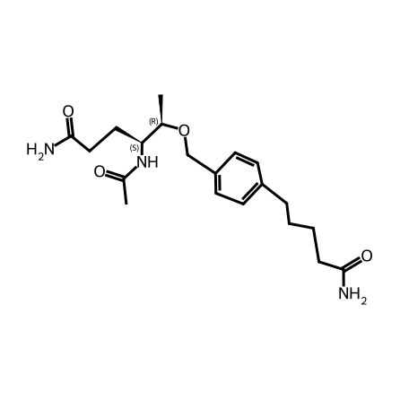 CC(=O)N[C@@H](CCC(N)=O)[C@@H](C)OCc1ccc(CCCCC(N)=O)cc1